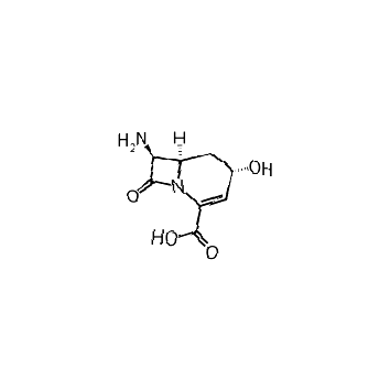 N[C@@H]1C(=O)N2C(C(=O)O)=C[C@@H](O)C[C@H]12